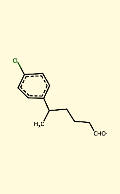 CC(CCC[C]=O)c1ccc(Cl)cc1